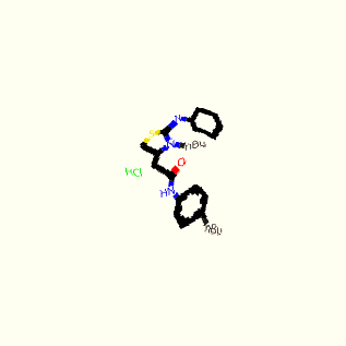 CCCCc1ccc(NC(=O)CC2CSC(=NC3CCCCC3)N2CCCC)cc1.Cl